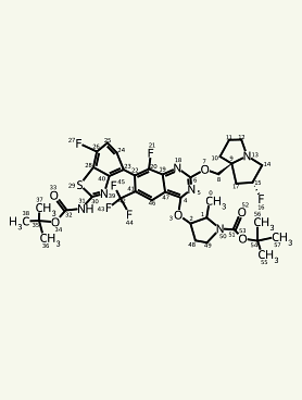 CC1C(Oc2nc(OC[C@@]34CCCN3C[C@H](F)C4)nc3c(F)c(-c4ccc(F)c5sc(NC(=O)OC(C)(C)C)nc45)c(C(F)(F)F)cc23)CCN1C(=O)OC(C)(C)C